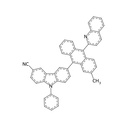 Cc1ccc2c(-c3ccc4ccccc4n3)c3ccccc3c(-c3ccc4c(c3)c3cc(C#N)ccc3n4-c3ccccc3)c2c1